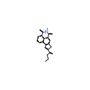 C=C(CCC)C1=Cc2c(cc3c4c(cccc24)C(=C)N(C)C3=C)C1